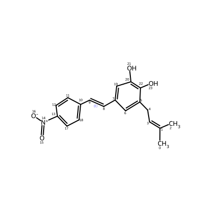 CC(C)=CCc1cc(/C=C/c2ccc([N+](=O)[O-])cc2)cc(O)c1O